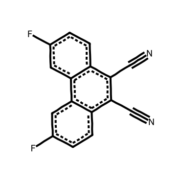 N#Cc1c(C#N)c2ccc(F)cc2c2cc(F)ccc12